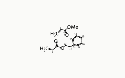 C=CC(=O)OC.C=CC(=O)OCCc1ccccc1